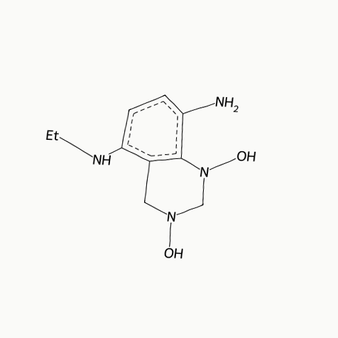 CCNc1ccc(N)c2c1CN(O)CN2O